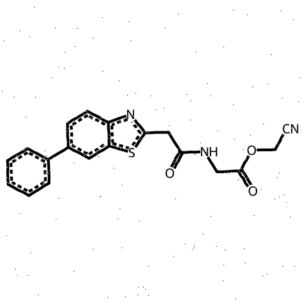 N#CCOC(=O)CNC(=O)Cc1nc2ccc(-c3ccccc3)cc2s1